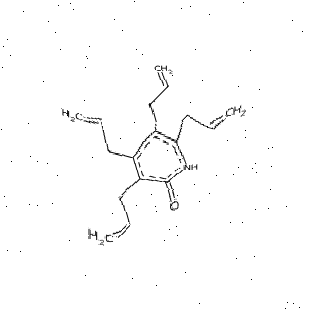 C=CCc1[nH]c(=O)c(CC=C)c(CC=C)c1CC=C